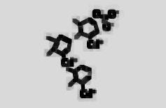 Cc1ccc[c]([Cd+])c1C.Cc1ccc[c]([Cd+])c1C.Cc1ccc[c]([Cd+])c1C.[O-]P([O-])[O-]